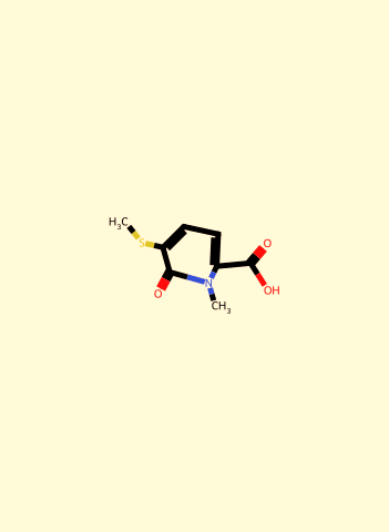 CSc1ccc(C(=O)O)n(C)c1=O